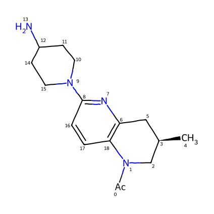 CC(=O)N1C[C@H](C)Cc2nc(N3CCC(N)CC3)ccc21